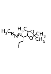 C=BN=N[C@@H](CCI)[C@@H]1OC(C)(C)OC1C